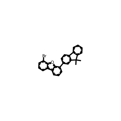 CC1(C)c2ccccc2-c2ccc(-c3cccc4c3oc3c(Br)cccc34)cc21